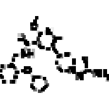 COc1nc(C)c(-c2ccn3nc(N)nc3c2)cc1C(=O)NCc1ccccc1OC1CCCC1